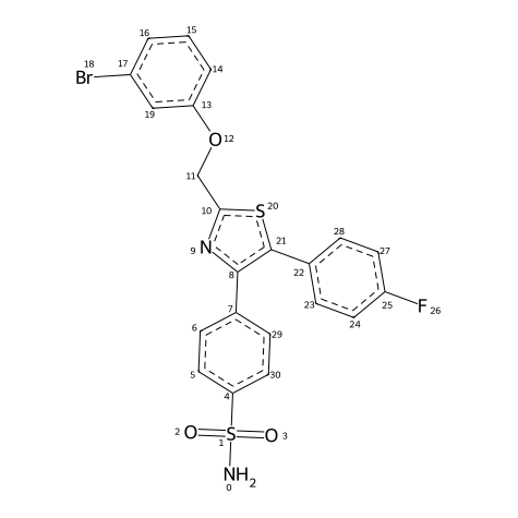 NS(=O)(=O)c1ccc(-c2nc(COc3cccc(Br)c3)sc2-c2ccc(F)cc2)cc1